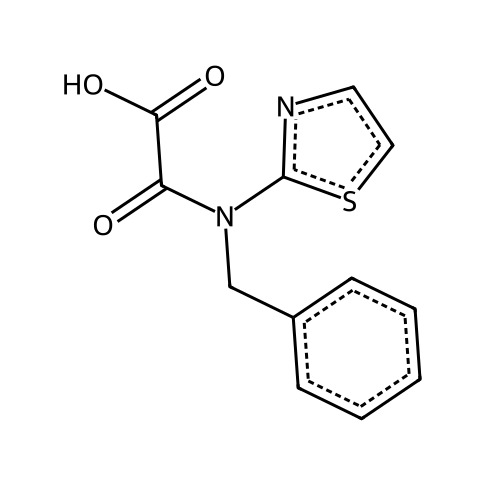 O=C(O)C(=O)N(Cc1ccccc1)c1nccs1